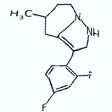 CC1CCN2NCC(c3ccc(F)cc3F)=C2C1